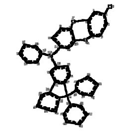 Clc1ccc2c(c1)Oc1ccc(N(c3ccccc3)c3ccc4c(c3)-c3ccccc3C4(c3ccccc3)c3ccccc3)cc1O2